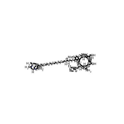 CCC(=O)N[C@H](C(=O)NCC(=O)N[C@H]1C[S+]([O-])c2[nH]c3c(CSCCNC(=O)NCCOCCOCCOCCOCCOCCOCC4(C)OCCN(N)/C=C(\N)CN/C(CCC(=O)O)=C/C4C)c(OC)ccc3c2C[C@@H](C(N)=O)NC(=O)[C@H]([C@@H](C)[C@@H](O)CO)NC(=O)[C@@H]2C[C@@H](O)CN2C(=O)[C@H](CC(N)=O)NC1=O)[C@@H](C)CC